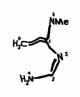 C=C(/N=C\N)NC